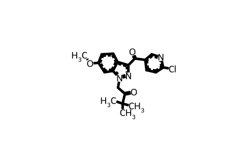 COc1ccc2c(C(=O)c3ccc(Cl)nc3)nn(CC(=O)C(C)(C)C)c2c1